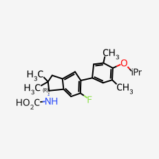 Cc1cc(-c2cc3c(cc2F)[C@H](NC(=O)O)C(C)(C)C3)cc(C)c1OC(C)C